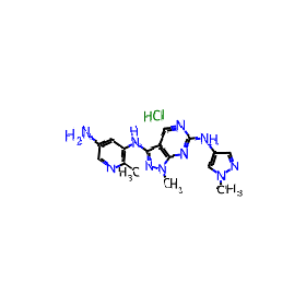 Cc1ncc(N)cc1Nc1nn(C)c2nc(Nc3cnn(C)c3)ncc12.Cl